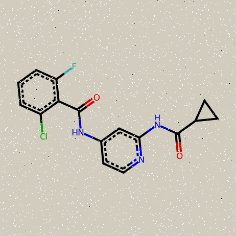 O=C(Nc1ccnc(NC(=O)C2CC2)c1)c1c(F)cccc1Cl